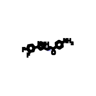 Nc1ccc(C(=O)/C=C/c2cc(-c3ccc(F)c(F)c3)n[nH]2)cc1